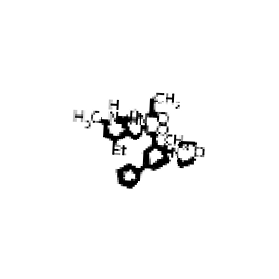 C=CC(=O)NN(Cc1c(CC)cc(C)[nH]c1=O)C(=O)C1C=C(c2ccccc2)C=CC1(C)N1CCOCC1